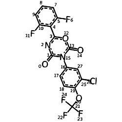 O=c1nc(-c2c(F)cccc2F)oc(=O)n1-c1ccc(OC(F)(F)F)c(Cl)c1